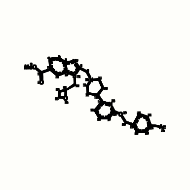 COC(=O)c1ccc2nc(CN3CCC(c4cccc(OCc5ccc(C(C)=O)cc5)n4)CC3)n(C[C@@H]3CCO3)c2c1